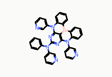 c1ccc(N(c2cccnc2)c2nc3c4c(n2)N(c2cccnc2)c2ccccc2B4c2ccccc2N3c2cccnc2)cc1